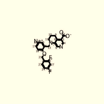 O=C([O-])c1cncc2c1CCCN2Cc1ccccc1OCc1ccc(F)cc1F.[Na+]